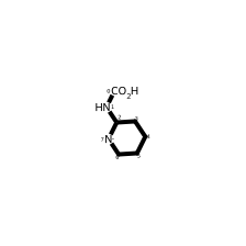 O=C(O)NC1CCCC[N]1